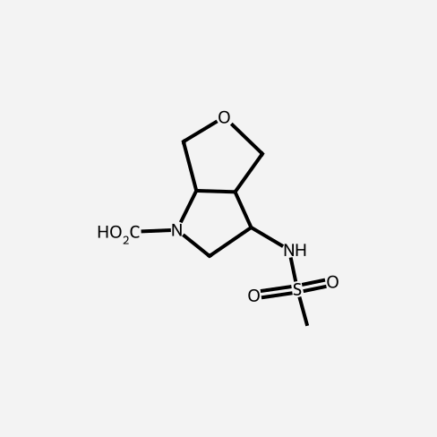 CS(=O)(=O)NC1CN(C(=O)O)C2COCC12